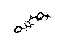 CN(CC(=O)N(C)c1ccccc1)C(=O)C1CC1c1ccc(C(F)(F)F)cc1